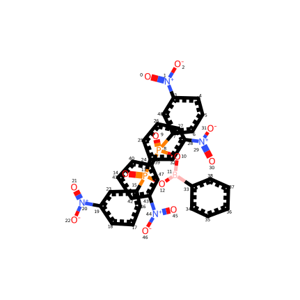 O=[N+]([O-])c1cccc(P(=O)(OB(OP(=O)(c2cccc([N+](=O)[O-])c2)c2cccc([N+](=O)[O-])c2)c2ccccc2)c2cccc([N+](=O)[O-])c2)c1